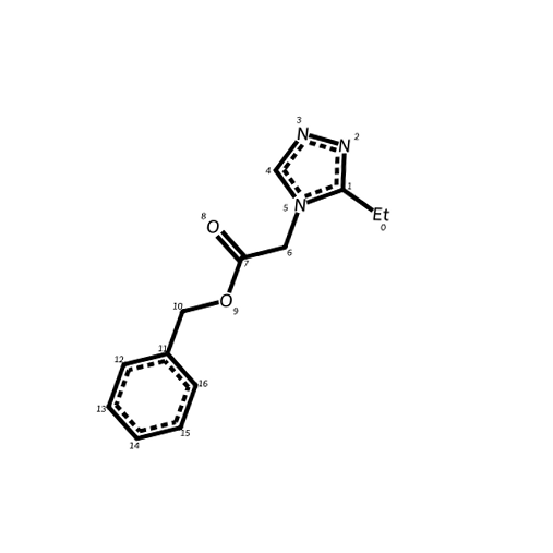 CCc1nncn1CC(=O)OCc1ccccc1